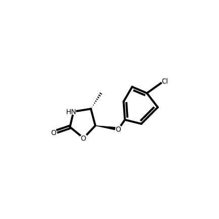 C[C@H]1NC(=O)O[C@@H]1Oc1ccc(Cl)cc1